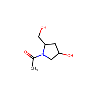 CC(=O)N1CC(O)CC1CO